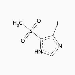 CS(=O)(=O)c1[nH]cnc1I